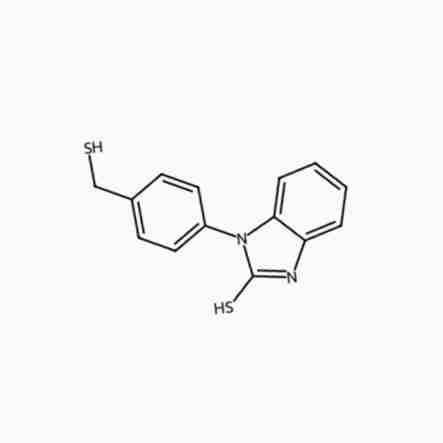 SCc1ccc(-n2c(S)nc3ccccc32)cc1